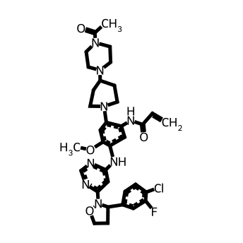 C=CC(=O)Nc1cc(Nc2cc(N3OCCC3c3ccc(Cl)c(F)c3)ncn2)c(OC)cc1N1CCC(N2CCN(C(C)=O)CC2)CC1